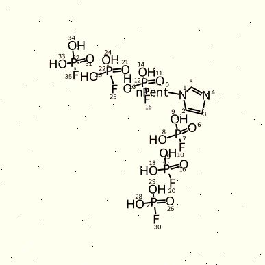 CCCCCn1ccnc1.O=P(O)(O)F.O=P(O)(O)F.O=P(O)(O)F.O=P(O)(O)F.O=P(O)(O)F.O=P(O)(O)F